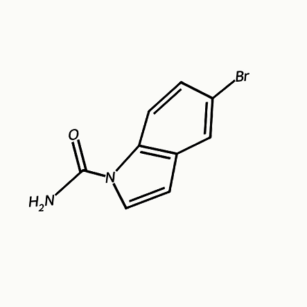 NC(=O)n1ccc2cc(Br)ccc21